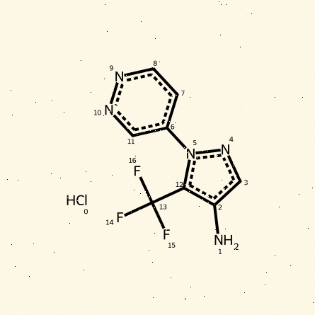 Cl.Nc1cnn(-c2ccnnc2)c1C(F)(F)F